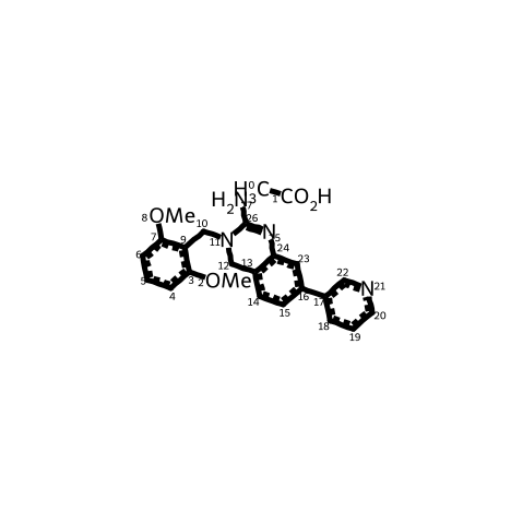 CC(=O)O.COc1cccc(OC)c1CN1Cc2ccc(-c3cccnc3)cc2N=C1N